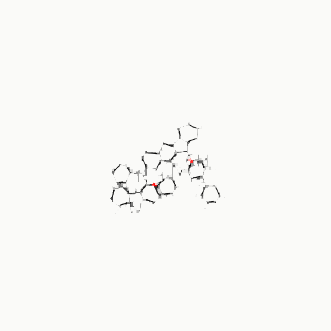 CC12c3ccccc3-c3cc4ccc(N(c5ccccc5)c5cccc6oc7ccccc7c56)cc4c(c31)N(c1ccccc1)c1cc(-c3ccccc3)ccc12